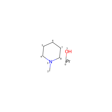 CC(C)O.CN1CCCCC1